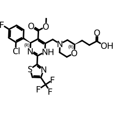 COC(=O)C1=C(CN2CCO[C@H](CCC(=O)O)C2)NC(c2nc(C(F)(F)F)cs2)=N[C@H]1c1ccc(F)cc1Cl